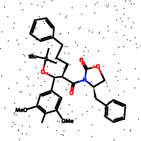 COc1cc(C(O[Si](C)(C)C(C)(C)C)[C@@H](CCCc2ccccc2)C(=O)N2C(=O)OC[C@@H]2Cc2ccccc2)cc(OC)c1C